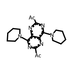 CC(=O)c1nc(N2CCCCC2)c2nc(C(C)=O)nc(N3CCCCC3)c2n1